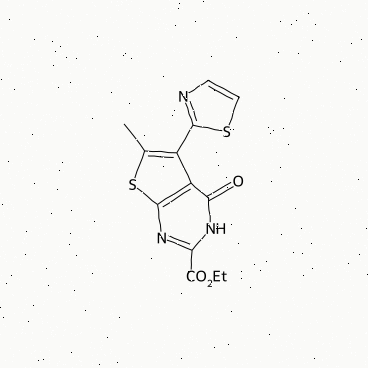 CCOC(=O)c1nc2sc(C)c(-c3nccs3)c2c(=O)[nH]1